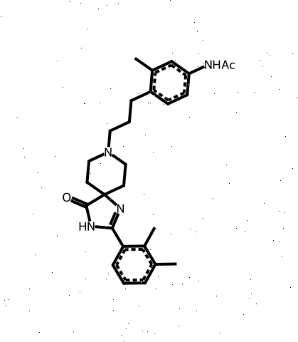 CC(=O)Nc1ccc(CCCN2CCC3(CC2)N=C(c2cccc(C)c2C)NC3=O)c(C)c1